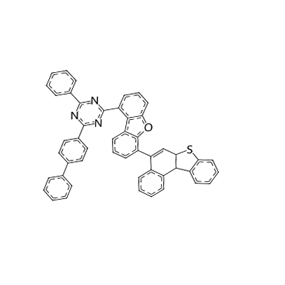 C1=C(c2cccc3c2oc2cccc(-c4nc(-c5ccccc5)nc(-c5ccc(-c6ccccc6)cc5)n4)c23)c2ccccc2C2c3ccccc3SC12